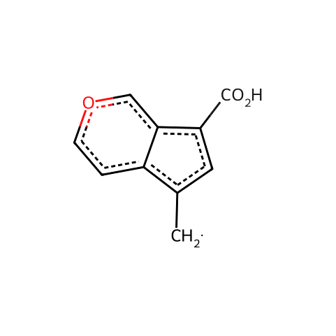 [CH2]c1cc(C(=O)O)c2coccc1-2